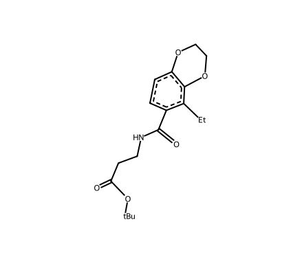 CCc1c(C(=O)NCCC(=O)OC(C)(C)C)ccc2c1OCCO2